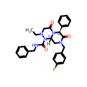 CCN1CC(=O)N2[C@@H](c3ccccc3)C(=O)N(Cc3ccc(F)cc3)C[C@@H]2N1C(=O)NCc1ccccc1